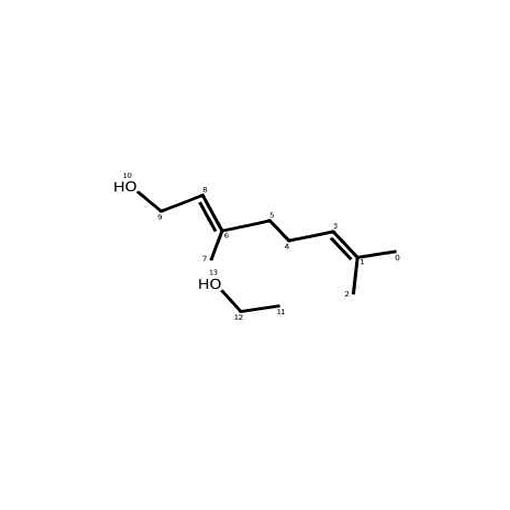 CC(C)=CCC/C(C)=C/CO.CCO